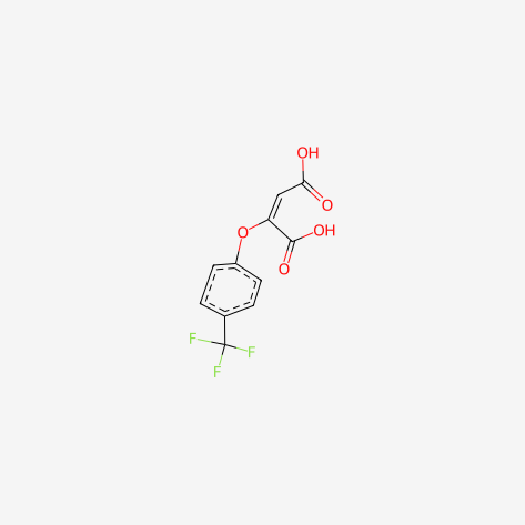 O=C(O)C=C(Oc1ccc(C(F)(F)F)cc1)C(=O)O